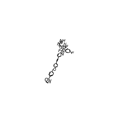 N=N/N=C\NCC(O)(c1ccc(F)cc1F)C(F)(F)c1ccc(C#Cc2ccc(OCc3ccc(-c4ncco4)cc3)cc2)cn1